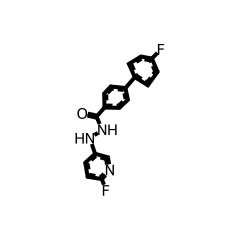 O=C(NNc1ccc(F)nc1)c1ccc(-c2ccc(F)cc2)cc1